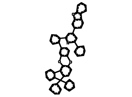 c1ccc(-c2cc(-c3ccc4c(c3)oc3ccccc34)cc(-c3ccccc3-c3ccc4c(c3)Oc3c(ccc5c3-c3ccccc3C5(c3ccccc3)c3ccccc3)O4)n2)cc1